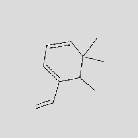 C=CC1=CC=CC(C)(C)C1C